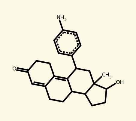 CC12CC(c3ccc(N)cc3)C3=C4CCC(=O)C=C4CCC3C1CCC2O